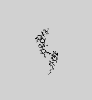 CCCCn1cc(-c2ccc3nnc(C#Cc4cc(C(=O)Nc5ccc(CN6CCN(C)CC6)c(C(F)(F)F)c5)ccc4C)n3c2)cn1